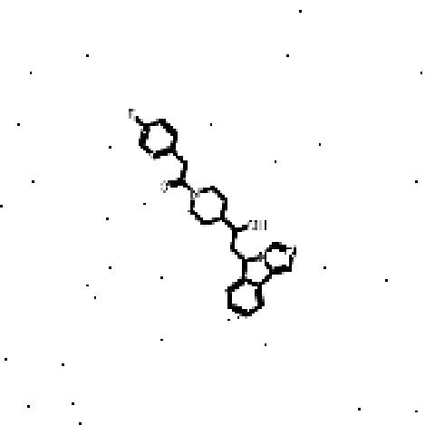 O=C(Cc1ccc(F)cc1)N1CCC(C(O)CC2c3ccccc3-c3cncn32)CC1